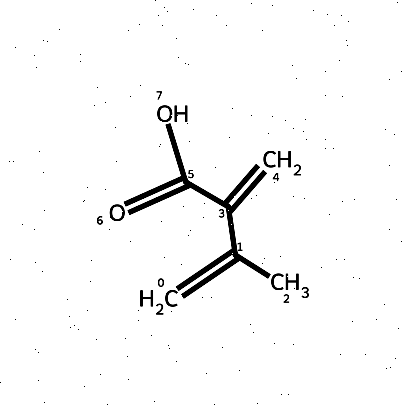 C=C(C)C(=C)C(=O)O